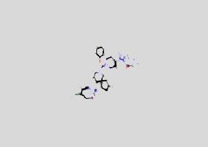 NN(C(=O)C(F)(F)F)[C@@H]1CCN(C(=O)N2CC[C@@H](Cn3ccc(Cl)cc3=O)C3(CCCC3)C2)[C@H](c2ccccc2)C1